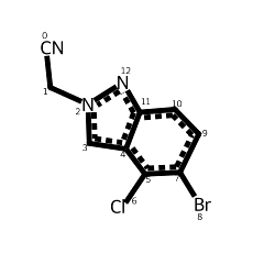 N#CCn1cc2c(Cl)c(Br)ccc2n1